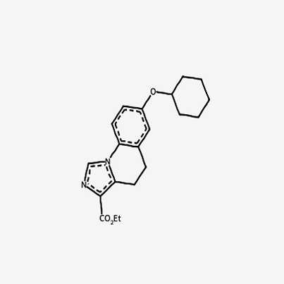 CCOC(=O)c1ncn2c1CCc1cc(OC3CCCCC3)ccc1-2